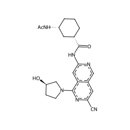 CC(=O)N[C@@H]1CCC[C@H](C(=O)Nc2cc3c(N4CC[C@@H](O)C4)nc(C#N)cc3cn2)C1